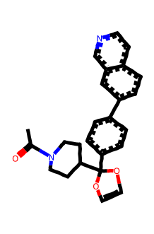 CC(=O)N1CCC(C2(c3ccc(-c4ccc5ccncc5c4)cc3)OC=CO2)CC1